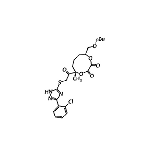 CCCCOC[C@@H]1CCC[C@@](C)(C(=O)CSc2nc(-c3ccccc3Cl)n[nH]2)OC(=O)C(=O)O1